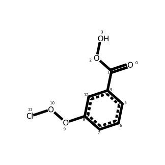 O=C(OO)c1cccc(OOCl)c1